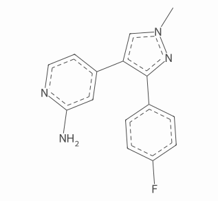 Cn1cc(-c2ccnc(N)c2)c(-c2ccc(F)cc2)n1